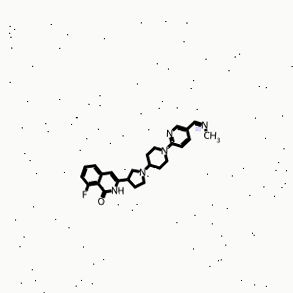 C/N=C\c1ccc(N2CCC(N3CCC(c4cc5cccc(F)c5c(=O)[nH]4)C3)CC2)nc1